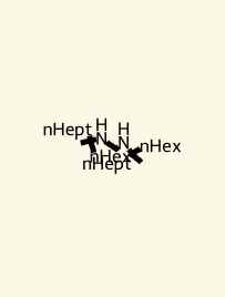 CCCCCCCC(C)(CCCCCC)NCNC(C)(CCCCCC)CCCCCCC